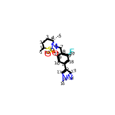 CC1CC[C@H](C)N(Cc2ccc(-c3cnn(C)c3)cc2F)S1(=O)=O